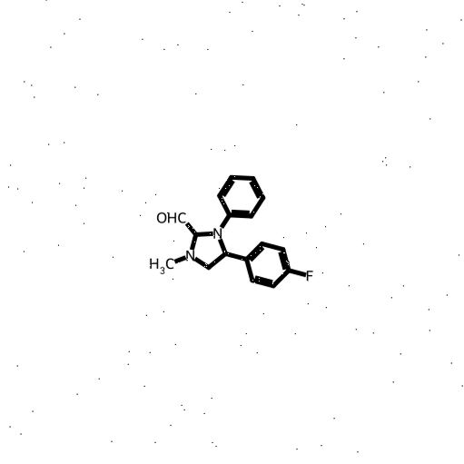 CN1CC(c2ccc(F)cc2)N(c2ccccc2)C1C=O